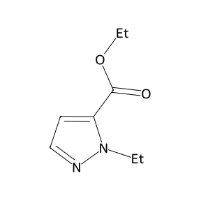 CCOC(=O)c1ccnn1CC